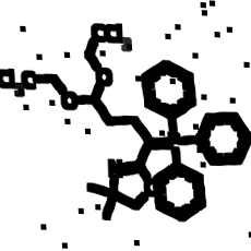 CC1(C)COC(C(CCC(OCC(Cl)(Cl)Cl)OCC(Cl)(Cl)Cl)=P(c2ccccc2)(c2ccccc2)c2ccccc2)=N1